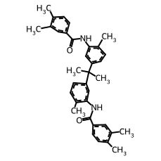 Cc1ccc(C(=O)Nc2cc(C(C)(C)c3ccc(C)c(NC(=O)c4ccc(C)c(C)c4)c3)ccc2C)cc1C